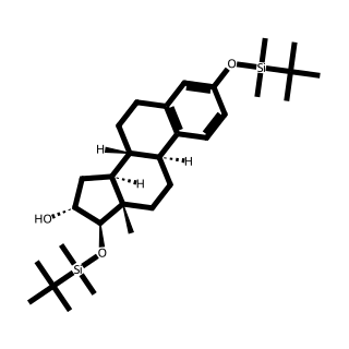 CC(C)(C)[Si](C)(C)Oc1ccc2c(c1)CC[C@@H]1[C@@H]2CC[C@@]2(C)[C@H]1C[C@@H](O)[C@@H]2O[Si](C)(C)C(C)(C)C